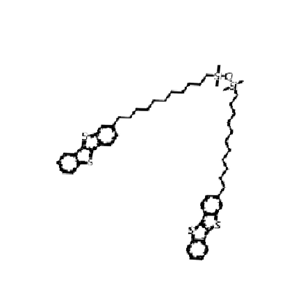 C[Si](C)(CCCCCCCCCCCc1ccc2c(c1)sc1c3ccccc3sc21)O[Si](C)(C)CCCCCCCCCCCc1ccc2c(c1)sc1c3ccccc3sc21